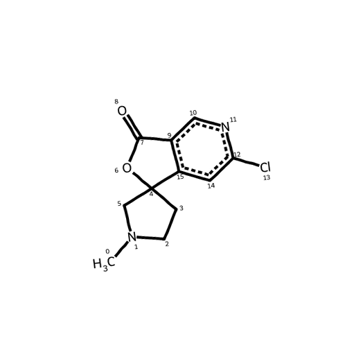 CN1CCC2(C1)OC(=O)c1cnc(Cl)cc12